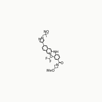 COC1CN(C(=O)c2ccc(Nc3cc4cc(-c5cnn(CC(C)(C)N=O)c5)ccc4cn3)c(OC(F)F)c2)C1